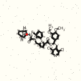 COc1ccc([C@H](Cc2c(Cl)cncc2Cl)OC(=O)c2ccc(CN(C(=O)O[C@H]3C[C@H]4CC[C@@H](C3)N4C)c3ccccc3F)s2)cc1OC